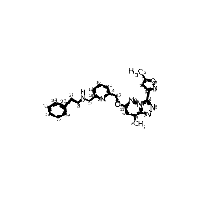 Cc1cc(-c2nnc3c(C)cc(OCc4cccc(CNCCc5ccccc5)n4)nn23)no1